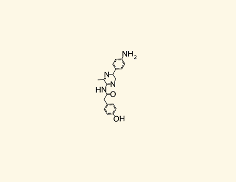 CC1=NC(c2ccc(N)cc2)CN=C1NC(=O)Cc1ccc(O)cc1